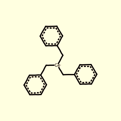 c1ccc([CH2][Ge]([CH2]c2ccccc2)[CH2]c2ccccc2)cc1